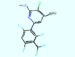 CC(=O)Nc1cc(-c2c(F)cc(F)c(C(F)F)c2F)nc(C(=O)O)c1Cl